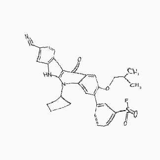 CC(C)COc1cc2c(=O)c3c4ccc(C#N)cc4[nH]c3n(C3CCC3)c2cc1-c1cccc(S(=O)(=O)F)c1